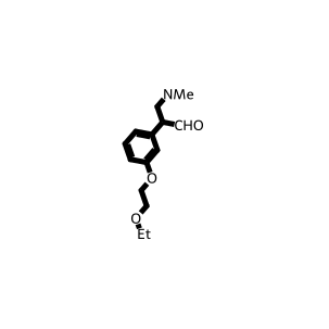 CCOCCOc1cccc(C(C=O)CNC)c1